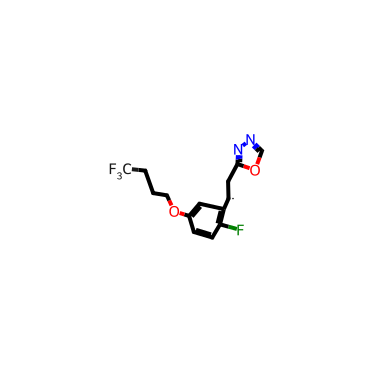 Fc1ccc(OCCCC(F)(F)F)cc1[CH]Cc1nnco1